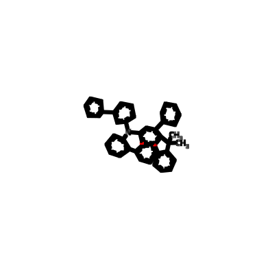 CC1(C)c2ccccc2-c2cc(N(c3cccc(-c4ccccc4)c3)c3ccccc3-c3ccccc3)cc(-c3ccccc3)c21